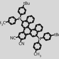 Cc1ccc(N(c2ccc(C(C)(C)C)cc2)c2cc3c4cc(C#N)c(C#N)cc4c4cc(N(c5ccc(C)cc5)c5ccc(C(C)(C)C)cc5)c5ccccc5c4c3c3ccccc23)cc1